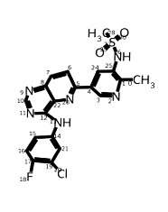 Cc1ncc(-c2ccc3ncnc(Nc4ccc(F)c(Cl)c4)c3n2)cc1NS(C)(=O)=O